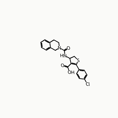 O=C(O)C1=C(c2ccc(Cl)cc2)SCC1NC(=O)N1CCc2ccccc2C1